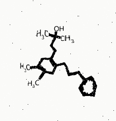 CC1=C(C)CC(CCC(C)(C)O)=C(CCCc2ccccc2)C1